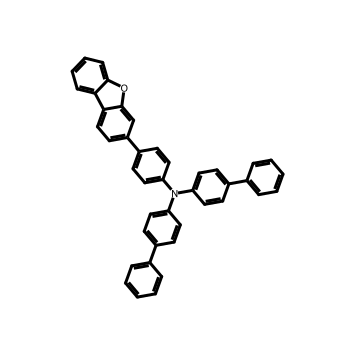 c1ccc(-c2ccc(N(c3ccc(-c4ccccc4)cc3)c3ccc(-c4ccc5c(c4)oc4ccccc45)cc3)cc2)cc1